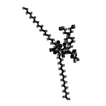 CCCCCCCCCCCCCCCCCC(=O)C(O)C(O)(C(=O)CCCCCCCCCCCCCCCCC)C(O)C(=O)C(Cc1ccc(N(CCCl)CCCl)cc1)NC(=O)OC(C)(C)C